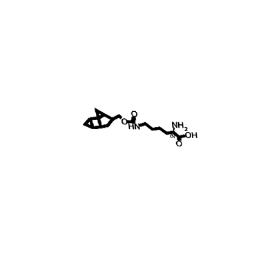 N[C@@H](CCCCNC(=O)OCC1CC2C3CC3C23CC13)C(=O)O